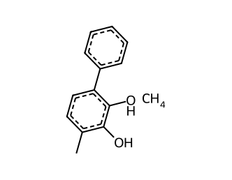 C.Cc1ccc(-c2ccccc2)c(O)c1O